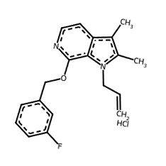 C=CCn1c(C)c(C)c2ccnc(OCc3cccc(F)c3)c21.Cl